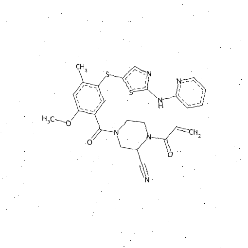 C=CC(=O)N1CCN(C(=O)c2cc(Sc3cnc(Nc4ccccn4)s3)c(C)cc2OC)CC1C#N